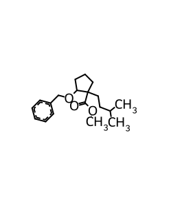 COC(=O)C1(CCC(C)C)CCCC1OCc1ccccc1